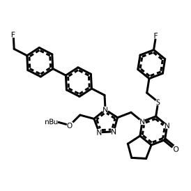 CCCCOCc1nnc(Cn2c(SCc3ccc(F)cc3)nc(=O)c3c2CCC3)n1Cc1ccc(-c2ccc(CF)cc2)cc1